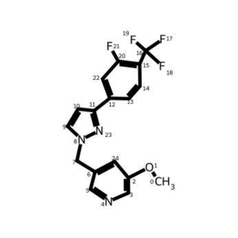 COc1cncc(Cn2ccc(-c3ccc(C(F)(F)F)c(F)c3)n2)c1